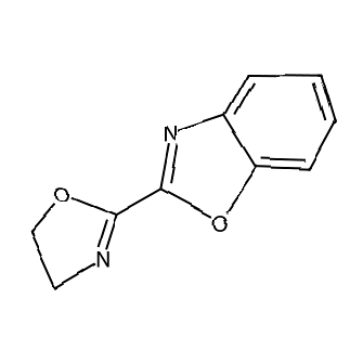 c1ccc2oc(C3=NCCO3)nc2c1